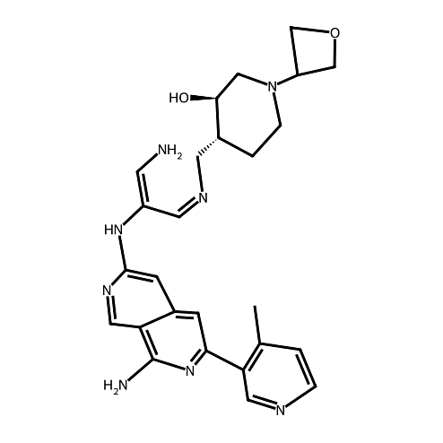 Cc1ccncc1-c1cc2cc(NC(/C=N\C[C@H]3CCN(C4COC4)C[C@@H]3O)=C/N)ncc2c(N)n1